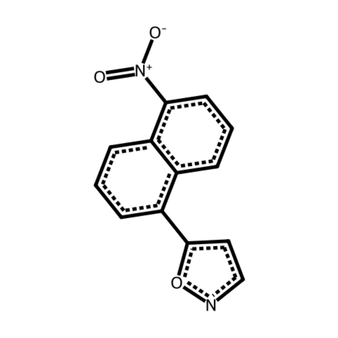 O=[N+]([O-])c1cccc2c(-c3ccno3)cccc12